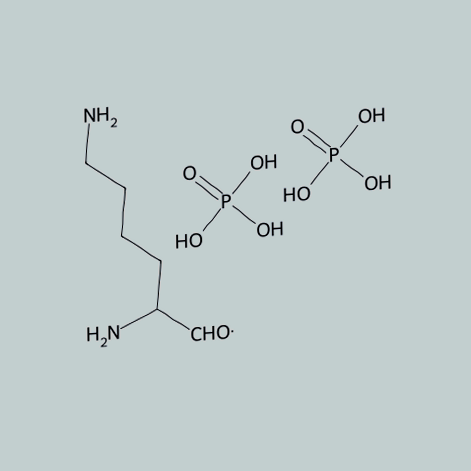 NCCCCC(N)[C]=O.O=P(O)(O)O.O=P(O)(O)O